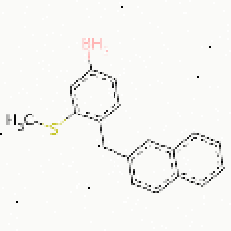 Bc1ccc(Cc2ccc3ccccc3c2)c(SC)c1